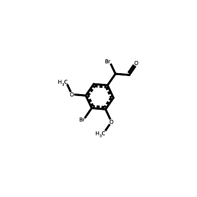 COc1cc(C(Br)C=O)cc(OC)c1Br